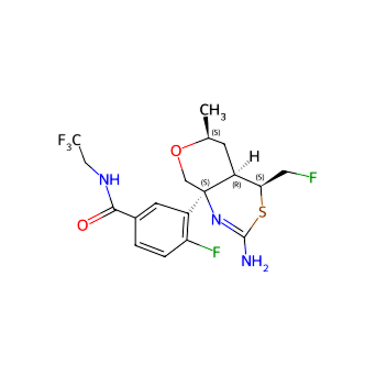 C[C@H]1C[C@H]2[C@@H](CF)SC(N)=N[C@@]2(c2cc(C(=O)NCC(F)(F)F)ccc2F)CO1